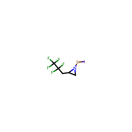 FC(F)(F)C(F)(F)CC1CN1SI